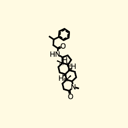 CC(CC(=O)NC1CC[C@H]2[C@@H]3CCC4N(C)C(=O)CC[C@]4(C)[C@@H]3CC[C@]12C)c1ccccc1